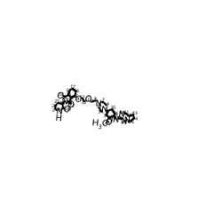 COc1cc(N2CCN(CCOCCOc3cccc4c3C(=O)N(C3CCCNC3=O)C4=O)CC2)ccc1Nc1ncc2cccn2n1